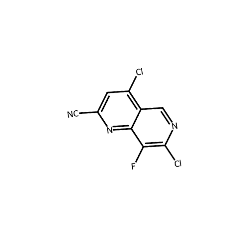 N#Cc1cc(Cl)c2cnc(Cl)c(F)c2n1